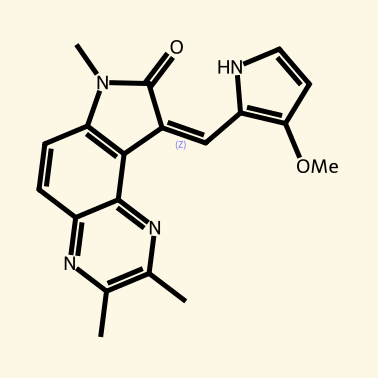 COc1cc[nH]c1/C=C1\C(=O)N(C)c2ccc3nc(C)c(C)nc3c21